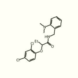 CCC(Oc1ccc(Cl)cc1Cl)C(=O)NCc1ccccc1N(C)C